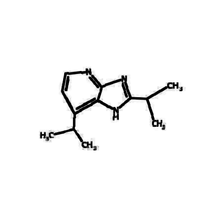 CC(C)c1nc2nccc(C(C)C)c2[nH]1